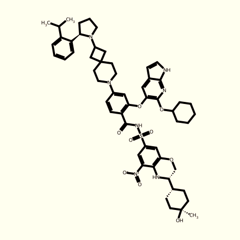 CC(C)c1ccccc1[C@H]1CCCN1C1CC2(CCN(c3ccc(C(=O)NS(=O)(=O)c4cc5c(c([N+](=O)[O-])c4)N[C@@H]([C@H]4CC[C@](C)(O)CC4)CO5)c(Oc4cc5cc[nH]c5nc4OC4CCCCC4)c3)CC2)C1